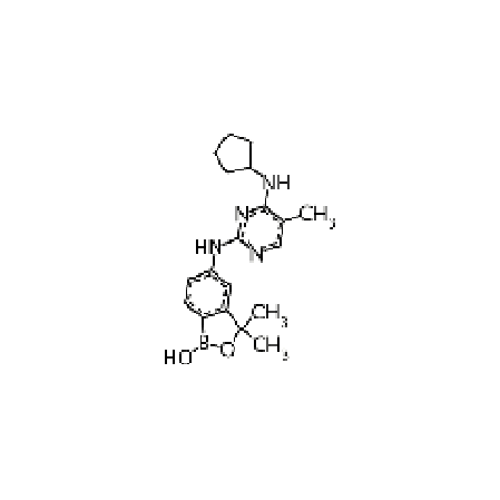 Cc1cnc(Nc2ccc3c(c2)C(C)(C)OB3O)nc1NC1CCCC1